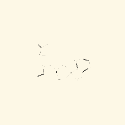 CN(C)C1(c2cnccn2)CCC2(CC1)CC(=O)N(CC(C)(C)C(N)=O)C2